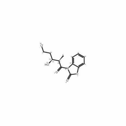 C[C@@H](C(=O)n1c(=O)oc2ccccc21)[C@@H](O)CCCl